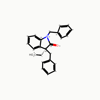 O=C(O)C[C@@]1(Cc2ccccc2)C(=O)N(Cc2ccccc2)c2ccccc21